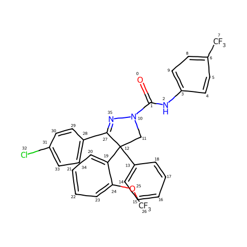 O=C(Nc1ccc(C(F)(F)F)cc1)N1CC(c2ccccc2)(c2ccccc2OC(F)(F)F)C(c2ccc(Cl)cc2)=N1